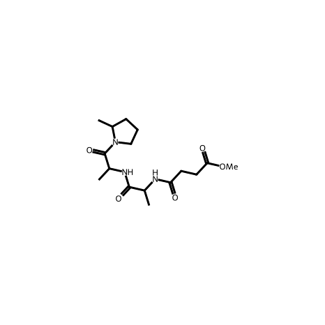 COC(=O)CCC(=O)NC(C)C(=O)NC(C)C(=O)N1CCCC1C